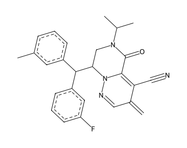 C=C1C=NN2C(=C1C#N)C(=O)N(C(C)C)CC2C(c1cccc(C)c1)c1cccc(F)c1